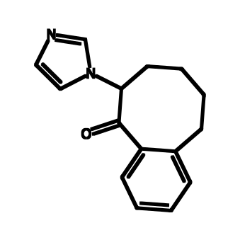 O=C1c2ccccc2CCCCC1n1ccnc1